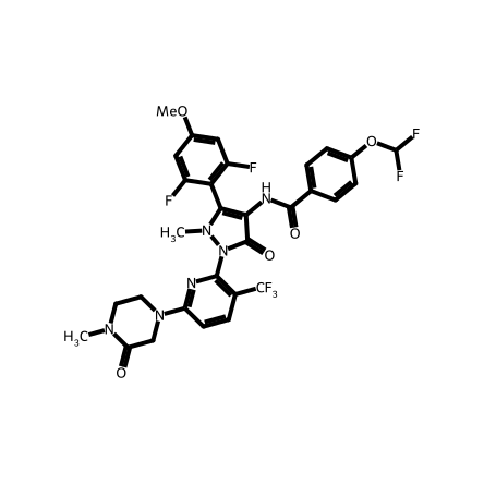 COc1cc(F)c(-c2c(NC(=O)c3ccc(OC(F)F)cc3)c(=O)n(-c3nc(N4CCN(C)C(=O)C4)ccc3C(F)(F)F)n2C)c(F)c1